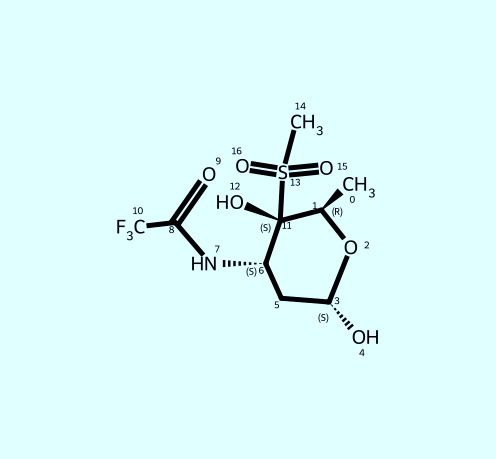 C[C@H]1O[C@H](O)C[C@H](NC(=O)C(F)(F)F)[C@]1(O)S(C)(=O)=O